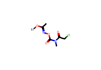 CCOC(C)=NOC(=O)N(C)C(=O)CCl